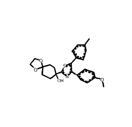 COc1ccc(-c2nc(C3(O)CCC4(CC3)OCCO4)sc2-c2ccc(C)cc2)cc1